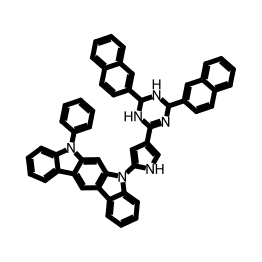 c1ccc(-n2c3ccccc3c3cc4c5ccccc5n(-c5cc(C6=NC(c7ccc8ccccc8c7)NC(c7ccc8ccccc8c7)N6)c[nH]5)c4cc32)cc1